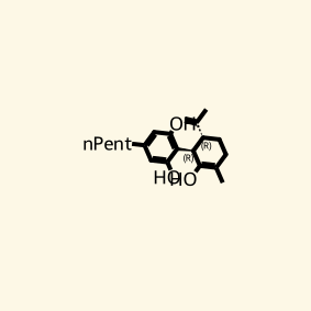 C=C(C)[C@@H]1CCC(C)=C(O)[C@H]1c1c(O)cc(CCCCC)cc1O